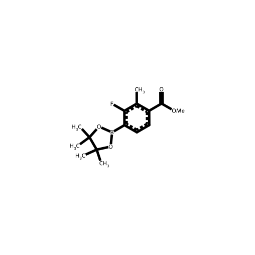 COC(=O)c1ccc(B2OC(C)(C)C(C)(C)O2)c(F)c1C